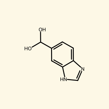 OC(O)c1ccc2nc[nH]c2c1